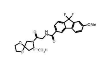 COc1ccc2c(c1)C(F)(F)c1ccc(C(=O)NCC(=O)N3CC4(C[C@H]3C(=O)O)OCCO4)cc1-2